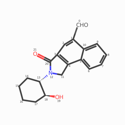 O=Cc1cc2c(c3ccccc13)CN([C@H]1CCCC[C@@H]1O)C2=O